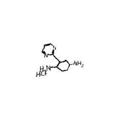 Cl.NC1CCC(N)C(c2ncccn2)C1